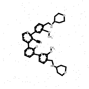 COc1cc(-c2nccc(-c3cccc(-c4ccc(CNC5CCOCC5)c(OC)n4)c3Cl)c2C#N)ccc1CNC1CCOCC1